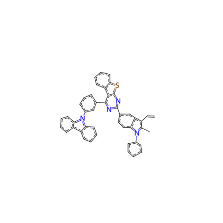 C=Cc1c(C)n(-c2ccccc2)c2ccc(-c3nc(-c4cccc(-n5c6ccccc6c6ccccc65)c4)c4c(n3)sc3ccccc34)cc12